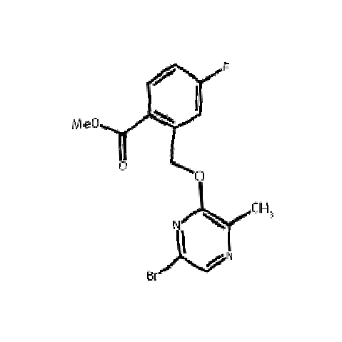 COC(=O)c1ccc(F)cc1COc1nc(Br)cnc1C